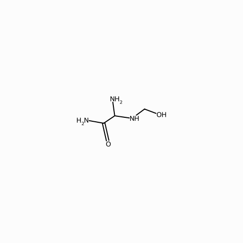 NC(=O)C(N)NCO